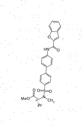 COC(=O)[C@@H](C(C)C)N(C)S(=O)(=O)c1ccc(-c2ccc(NC(=O)c3cc4ccccc4o3)cc2)cc1